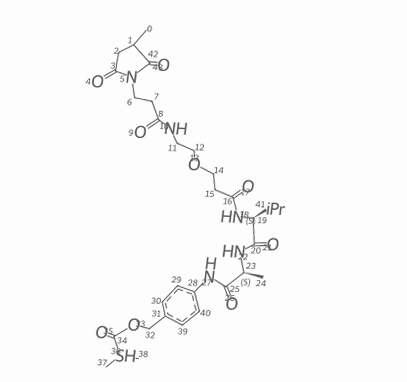 CC1CC(=O)N(CCC(=O)NCCOCCC(=O)N[C@H](C(=O)N[C@@H](C)C(=O)Nc2ccc(COC(=O)[SH](C)C)cc2)C(C)C)C1=O